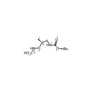 C[C@@H](CNC(=O)OC(C)(C)C)ONC(=O)O